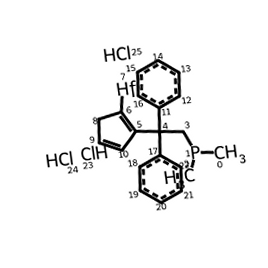 CP(C)CC(C1=[C]([Hf])CC=C1)(c1ccccc1)c1ccccc1.Cl.Cl.Cl